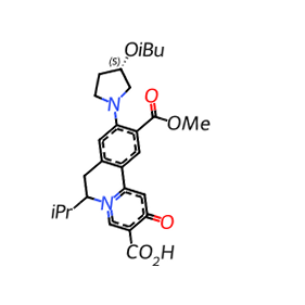 COC(=O)c1cc2c(cc1N1CC[C@H](OCC(C)C)C1)CC(C(C)C)n1cc(C(=O)O)c(=O)cc1-2